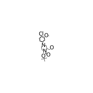 COc1cc(N2CCN(C(=O)OC(C)(C)C)C(C=O)C2)ccc1Cl